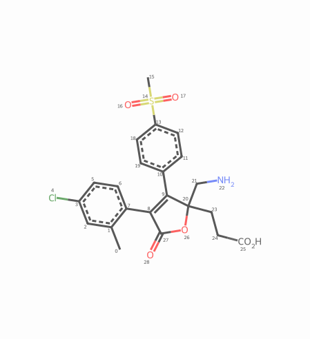 Cc1cc(Cl)ccc1C1=C(c2ccc(S(C)(=O)=O)cc2)C(CN)(CCC(=O)O)OC1=O